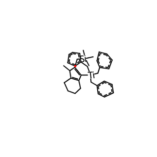 CC1C2=C(CCCC2)[C]([Ti]([CH2]c2ccccc2)([CH2]c2ccccc2)[CH2]c2ccccc2)=C1C[Si](C)(C)C